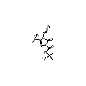 CCCN(C)c1nn(C(=O)NC(C)(C)C(F)(F)F)c(=O)n1N=CC(C)C